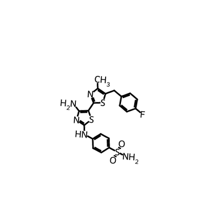 Cc1nc(-c2sc(Nc3ccc(S(N)(=O)=O)cc3)nc2N)sc1Cc1ccc(F)cc1